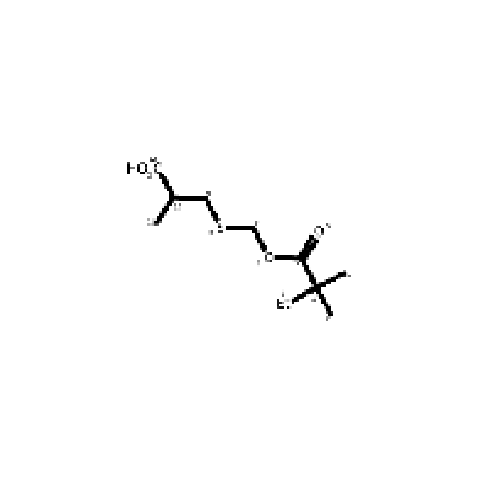 CCC(C)(C)C(=O)OCSCC(C)C(=O)O